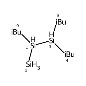 CCC(C)[SiH]([SiH3])[SiH](C(C)CC)C(C)CC